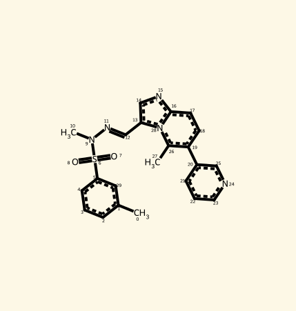 Cc1cccc(S(=O)(=O)N(C)/N=C/c2cnc3ccc(-c4cccnc4)c(C)n23)c1